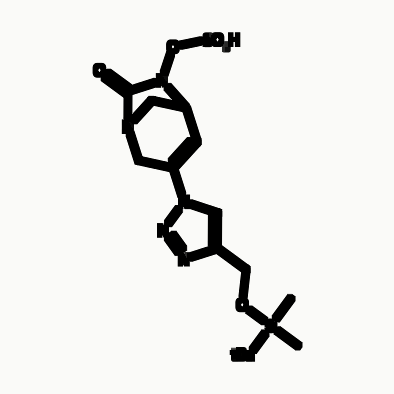 CC(C)(C)[Si](C)(C)OCc1cn(C2=CC3CN(C2)C(=O)N3OS(=O)(=O)O)nn1